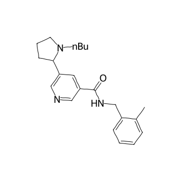 CCCCN1CCCC1c1cncc(C(=O)NCc2ccccc2C)c1